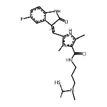 Cc1[nH]c(/C=C2\C(=O)Nc3ccc(F)cc32)c(C)c1C(=O)NCCCN(C)C(C)S